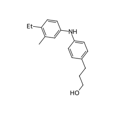 CCc1ccc(Nc2ccc(CCCO)cc2)cc1C